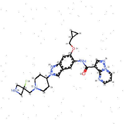 O=C(Nc1cc2cn(C3CCN(CC4(F)CNC4)CC3)nc2cc1OCC1CC1)c1cnn2cccnc12